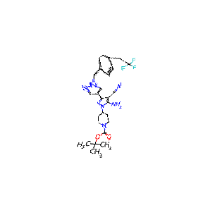 CC(C)(C)OC(=O)N1CCC(n2nc(-c3cnn(Cc4ccc(CC(F)(F)F)cc4)c3)c(C#N)c2N)CC1